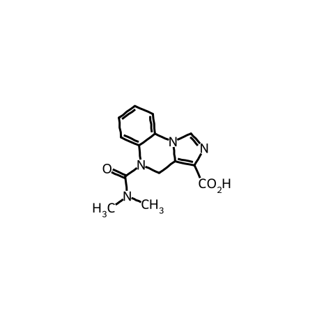 CN(C)C(=O)N1Cc2c(C(=O)O)ncn2-c2ccccc21